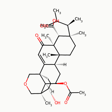 CC(=O)O[C@@H]1C[C@@]23COC[C@@](C)([C@@H]2CC[C@H]2C3=CC(=O)[C@@]3(C)[C@H](C(=O)O)[C@@](C)([C@H](C)C(C)C)CC[C@]23C)[C@H]1O